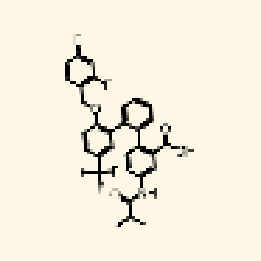 CC(C)C(=O)Nc1ccc(-c2ccccc2-c2cc(C(F)(F)F)ccc2OCc2ccc(F)cc2F)c(C(=O)O)c1